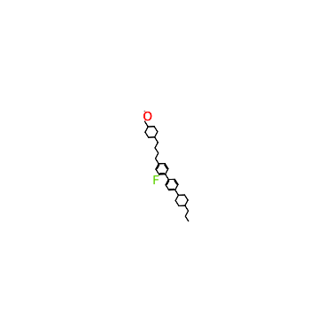 CCCC1CCC(c2ccc(-c3ccc(CCCCC4CCC(COC)CC4)cc3F)cc2)CC1